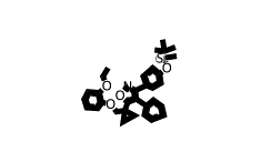 CCOc1ccccc1OCC1(c2onc(-c3ccc(O[Si](C)(C)C(C)(C)C)cc3)c2-c2ccccc2)CC1